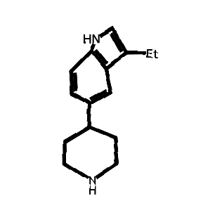 CCc1c[nH]c2ccc(C3CCNCC3)cc12